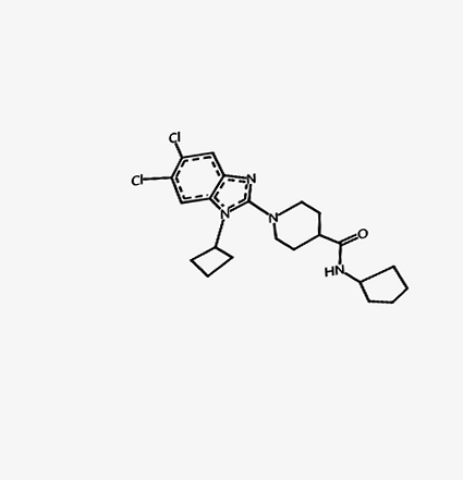 O=C(NC1CCCC1)C1CCN(c2nc3cc(Cl)c(Cl)cc3n2C2CCC2)CC1